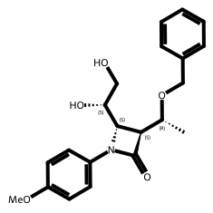 COc1ccc(N2C(=O)[C@H]([C@@H](C)OCc3ccccc3)[C@H]2[C@H](O)CO)cc1